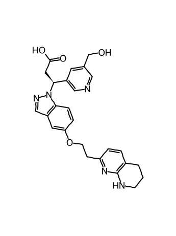 O=C(O)C[C@@H](c1cncc(CO)c1)n1ncc2cc(OCCc3ccc4c(n3)NCCC4)ccc21